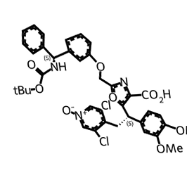 COc1ccc([C@H](Cc2c(Cl)c[n+]([O-])cc2Cl)c2oc(COc3cccc([C@@H](NC(=O)OC(C)(C)C)c4ccccc4)c3)nc2C(=O)O)cc1OC